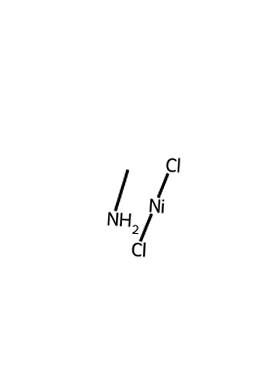 CN.[Cl][Ni][Cl]